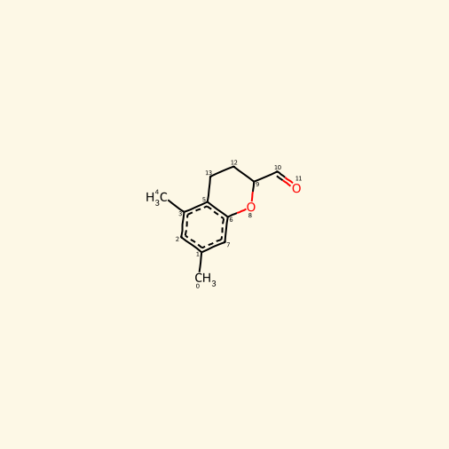 Cc1cc(C)c2c(c1)OC(C=O)CC2